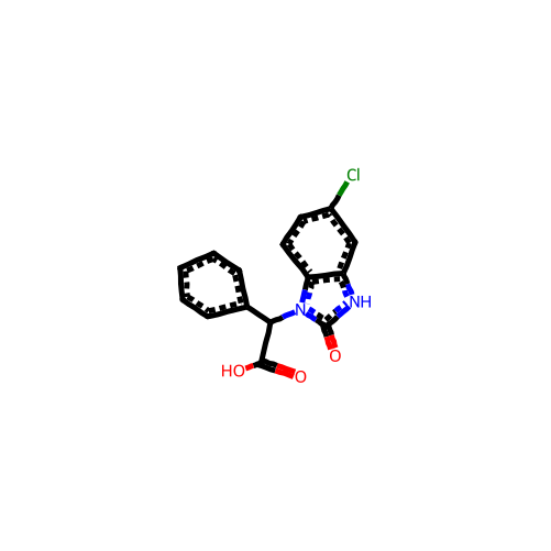 O=C(O)C(c1ccccc1)n1c(=O)[nH]c2cc(Cl)ccc21